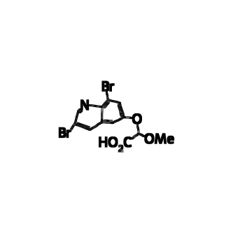 COC(Oc1cc(Br)c2ncc(Br)cc2c1)C(=O)O